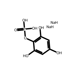 O=P(O)(O)Oc1c(O)cc(O)cc1O.[NaH].[NaH]